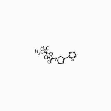 CC(C)(C)OC(=O)N1CC=C(c2cccs2)C1